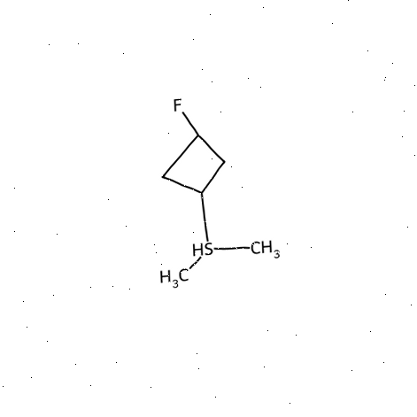 C[SH](C)C1CC(F)C1